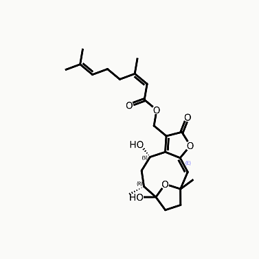 CC(C)=CCCC(C)=CC(=O)OCC1=C2/C(=C\C3(C)CCC(O)(O3)[C@H](C)C[C@@H]2O)OC1=O